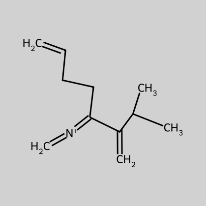 C=CCCC(=[N+]=C)C(=C)C(C)C